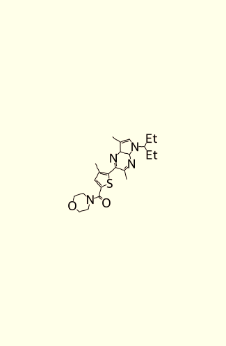 CCC(CC)N1C=C(C)C2N=C(c3sc(C(=O)N4CCOCC4)cc3C)C(C)=NC21